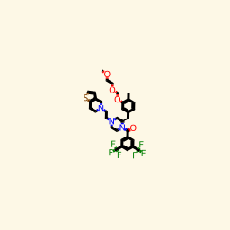 COCCOCOc1cc(C[C@@H]2CN(CCN3CCc4sccc4C3)CCN2C(=O)c2cc(C(F)(F)F)cc(C(F)(F)F)c2)ccc1C